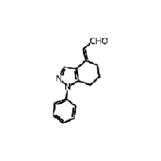 O=CC=C1CCCc2c1cnn2-c1ccccc1